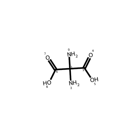 NC(N)(C(=O)O)C(=O)O